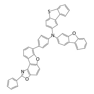 c1ccc(-c2nc3c(ccc4oc5c(-c6ccc(N(c7ccc8c(c7)oc7ccccc78)c7ccc8sc9ccccc9c8c7)cc6)cccc5c43)o2)cc1